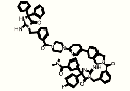 CN(C)C(=O)c1cccc(C2(c3ccc(F)cc3)NC(=N)N(Cc3cccc(C(=O)N4Cc5ccc(-c6ccc(N7CCN(C(=O)c8cccc(CN9C(=N)NC(c%10ccccc%10)(c%10ccccc%10)C9=O)c8)CC7)nc6)cc5C4)c3)C2=O)c1